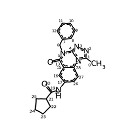 Cc1nnc2n(Cc3ccccc3)c(=O)c3cc(NC(=O)C4CCCC4)ccc3n12